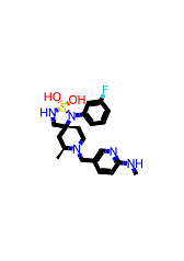 CNc1ccc(CN2CC[C@]3(CNS(O)(O)N3c3cccc(F)c3)C[C@@H]2C)cn1